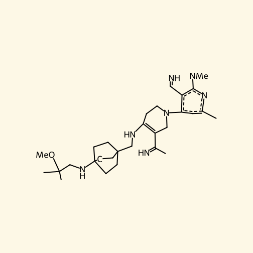 CNc1nc(C)cc(N2CCC(NCC34CCC(NCC(C)(C)OC)(CC3)CC4)=C(C(C)=N)C2)c1C=N